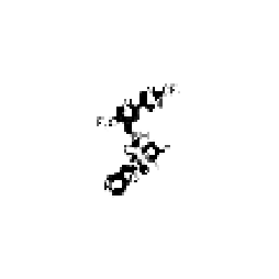 C[C@H]1[C@H](F)C[C@@H](C(=O)NCc2cc(-c3cnc(C(F)(F)F)nc3)ncc2C(F)(F)F)N1S(=O)(=O)c1cc2cnccc2o1